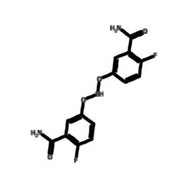 NC(=O)c1cc(OBOc2ccc(F)c(C(N)=O)c2)ccc1F